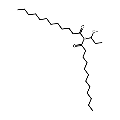 CCCCCCCCCCCC(=O)N(C(=O)CCCCCCCCCCC)C(O)CC